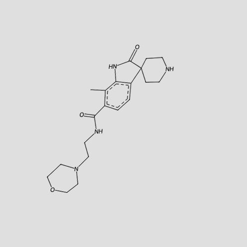 Cc1c(C(=O)NCCN2CCOCC2)ccc2c1NC(=O)C21CCNCC1